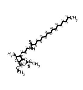 B[C@@H]1O[C@H](COC)C(OP(O)(=S)OC)[C@@H]1CCCNC(=S)CCCCCCCCCCCCCCC